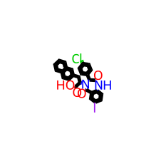 O=C(O)C(Cc1ccc2ccccc2c1)N1C(=O)c2cc(I)ccc2NC(=O)C1c1ccc(Cl)cc1